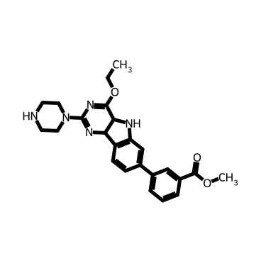 CCOC1=NC(N2CCNCC2)=NC2c3ccc(-c4cccc(C(=O)OC)c4)cc3NC12